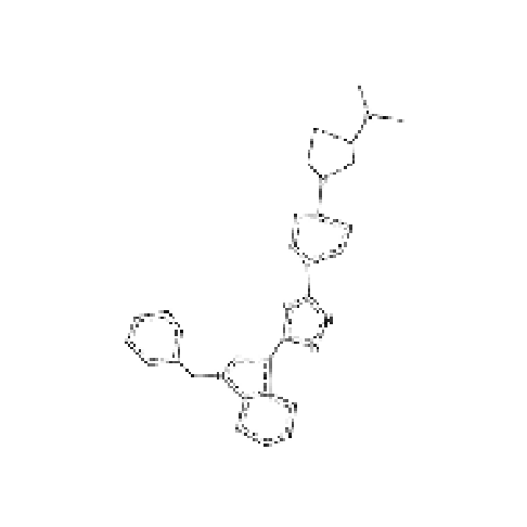 CN(C)C1CCN(c2ccc(-c3nnc(-c4cn(Cc5ccccc5)c5ccccc45)o3)cc2)C1